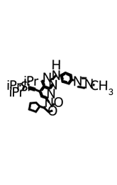 CC(C)[Si](C#Cc1cc(N2C(=O)OCC2C2CCCC2)nc2nc(Nc3ccc(N4CCN(C)CC4)cc3)ncc12)(C(C)C)C(C)C